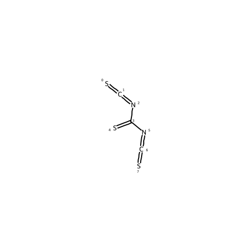 S=C=NC(=S)N=C=S